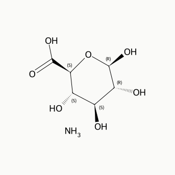 N.O=C(O)[C@H]1O[C@@H](O)[C@H](O)[C@@H](O)[C@@H]1O